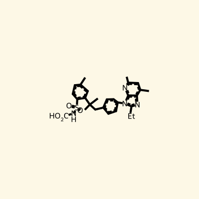 CCc1nc2c(C)cc(C)nc2n1-c1ccc(CC(C)(C)c2cc(C)ccc2S(=O)(=O)NC(=O)O)cc1